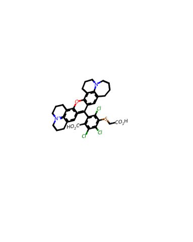 O=C(O)CSc1c(Cl)c(Cl)c(C(=O)O)c(C2=c3cc4c5c(c3Oc3c2cc2c6c3CCCN6CCCC2)CCC[N+]=5CCC4)c1Cl